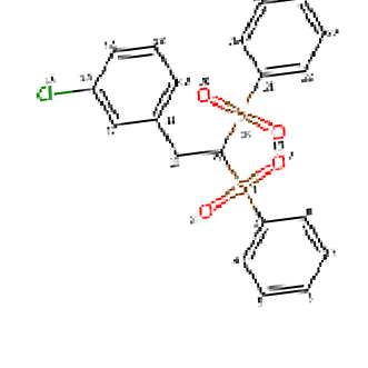 O=S(=O)(c1ccccc1)C(Cc1cccc(Cl)c1)S(=O)(=O)c1ccccc1